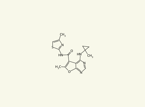 Cc1csc(NC(=O)c2c(C)oc3ncnc(NC4(C)CC4)c23)n1